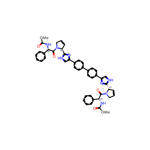 COC(=O)N[C@@H](C(=O)N1CC=C[C@H]1c1nc(-c2ccc(-c3ccc(-c4c[nH]c([C@@H]5C=CCN5C(=O)[C@H](NC(=O)OC)c5ccccc5)n4)cc3)cc2)c[nH]1)c1ccccc1